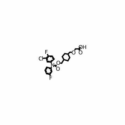 O=C(O)COCC1CCC(COC(=O)N(c2cccc(F)c2)c2ccc(F)c(Cl)c2)CC1